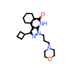 O=c1[nH]c2c(c(C3CCC3)nn2CCCN2CCOCC2)c2c1CCCC2